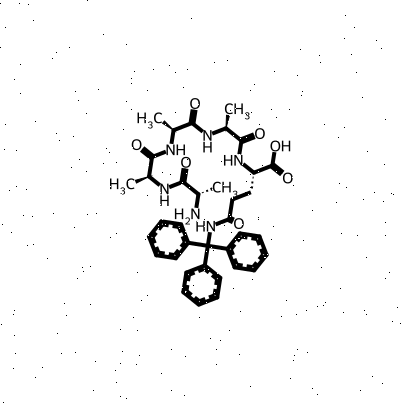 C[C@H](N)C(=O)N[C@@H](C)C(=O)N[C@@H](C)C(=O)N[C@@H](C)C(=O)N[C@@H](CCC(=O)NC(c1ccccc1)(c1ccccc1)c1ccccc1)C(=O)O